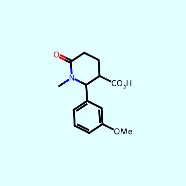 COc1cccc(C2C(C(=O)O)CCC(=O)N2C)c1